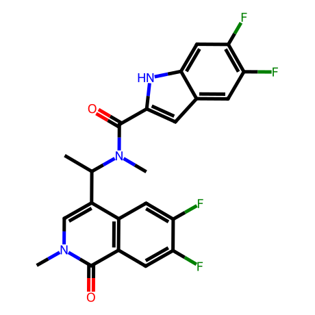 CC(c1cn(C)c(=O)c2cc(F)c(F)cc12)N(C)C(=O)c1cc2cc(F)c(F)cc2[nH]1